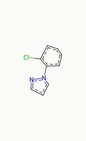 Clc1ccccc1-n1cccn1